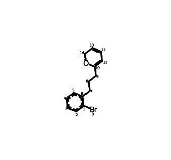 Brc1ccccc1CCCC1=CC=CCO1